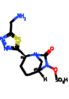 NCc1nnc([C@@H]2CC[C@@H]3CN2C(=O)N3OS(=O)(=O)O)s1